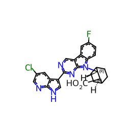 O=C(O)[C@@H]1C2CCC(CC2)[C@H]1n1c2ccc(F)cc2c2cnc(-c3c[nH]c4ncc(Cl)cc34)nc21